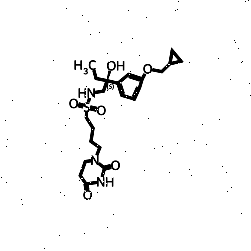 CC[C@@](O)(CNS(=O)(=O)CCCCN1CCC(=O)NC1=O)c1cccc(OCC2CC2)c1